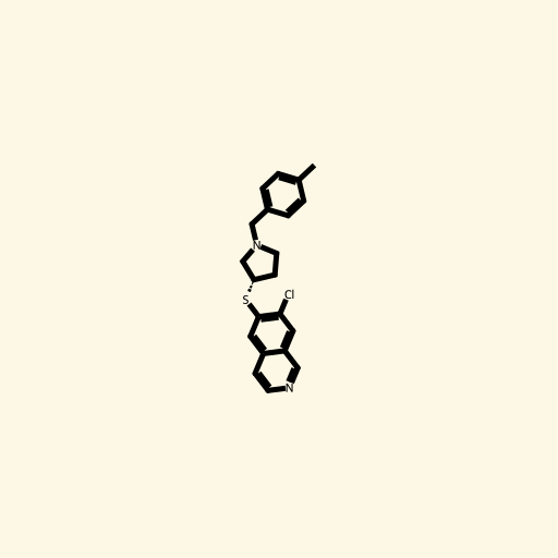 Cc1ccc(CN2CC[C@H](Sc3cc4ccncc4cc3Cl)C2)cc1